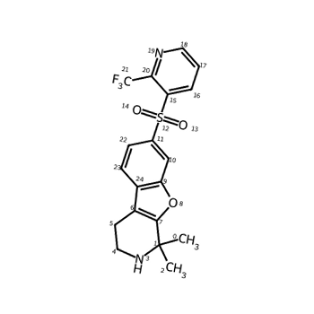 CC1(C)NCCc2c1oc1cc(S(=O)(=O)c3cccnc3C(F)(F)F)ccc21